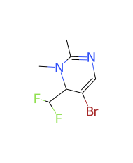 CC1=NC=C(Br)C(C(F)F)N1C